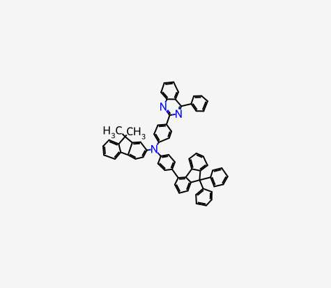 CC1(C)c2ccccc2-c2ccc(N(c3ccc(-c4nc(-c5ccccc5)c5ccccc5n4)cc3)c3ccc(-c4cccc5c4-c4ccccc4C5(c4ccccc4)c4ccccc4)cc3)cc21